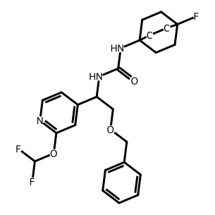 O=C(NC(COCc1ccccc1)c1ccnc(OC(F)F)c1)NC12CCC(F)(CC1)CC2